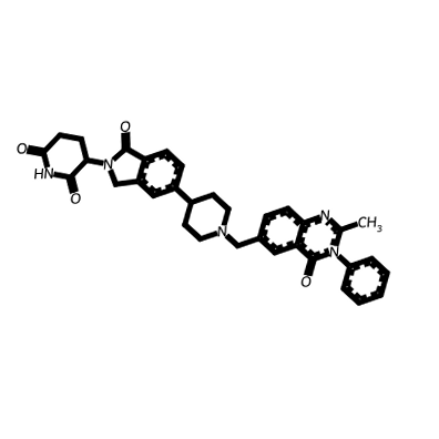 Cc1nc2ccc(CN3CCC(c4ccc5c(c4)CN(C4CCC(=O)NC4=O)C5=O)CC3)cc2c(=O)n1-c1ccccc1